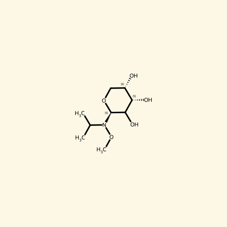 CON(C(C)C)[C@H]1OC[C@H](O)[C@H](O)C1O